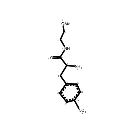 COCCNC(=O)C(N)Cc1ccc([N+](=O)[O-])cc1